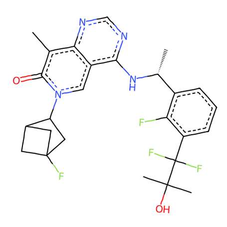 Cc1c(=O)n(C2CC3(F)CC2C3)cc2c(N[C@H](C)c3cccc(C(F)(F)C(C)(C)O)c3F)ncnc12